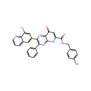 N#Cc1ccc(CNC(=O)c2cc(=O)c3nc(-c4cc(Cl)c5ncccc5c4)c(-c4ccccc4)nc3[nH]2)cc1